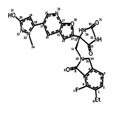 CCc1ccc2c(c1F)C(=O)N(C[C@@]1(c3cc4cc(-c5cc(O)nn5C)cnc4o3)NC(=O)NC1=O)C2